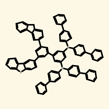 c1ccc(-c2ccc(N(c3ccc(-c4ccccc4)cc3)c3cc(-c4cc(-c5ccc6c(c5)-c5ccccc5C6)cc(-c5ccc6sc7ccccc7c6c5)c4)cc(N(c4ccc(-c5ccccc5)cc4)c4ccc(-c5ccccc5)cc4)c3)cc2)cc1